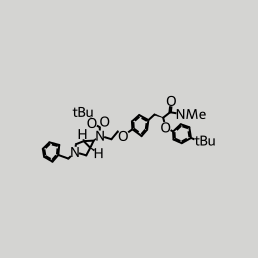 CNC(=O)[C@H](Cc1ccc(OCCN(C(=O)OC(C)(C)C)[C@H]2[C@@H]3CN(Cc4ccccc4)C[C@@H]32)cc1)Oc1ccc(C(C)(C)C)cc1